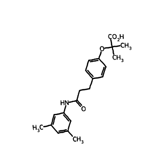 Cc1cc(C)cc(NC(=O)CCc2ccc(OC(C)(C)C(=O)O)cc2)c1